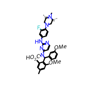 COc1ccc(OC)c(C(c2c(C)cc(C)cc2C)N(C(=O)O)c2ccnc(Nc3ccc(N4C[C@@H](C)N(C)[C@@H](C)C4)c(F)c3)n2)c1